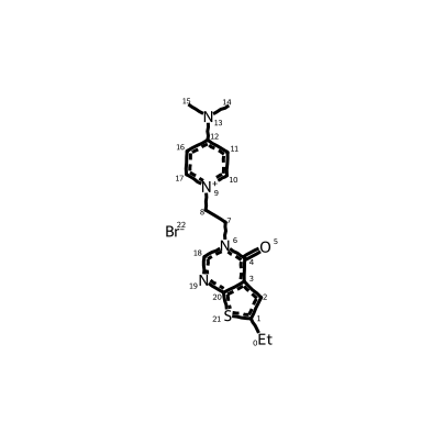 CCc1cc2c(=O)n(CC[n+]3ccc(N(C)C)cc3)cnc2s1.[Br-]